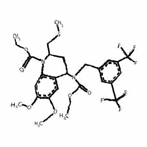 CCOC(=O)N(Cc1cc(C(F)(F)F)cc(C(F)(F)F)c1)C1CC(CSC)N(C(=O)OCC)c2cc(OC)c(OC)cc21